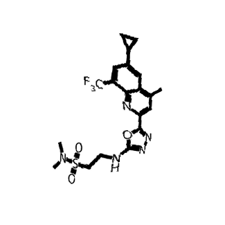 Cc1cc(-c2nnc(NCCS(=O)(=O)N(C)C)o2)nc2c(C(F)(F)F)cc(C3CC3)cc12